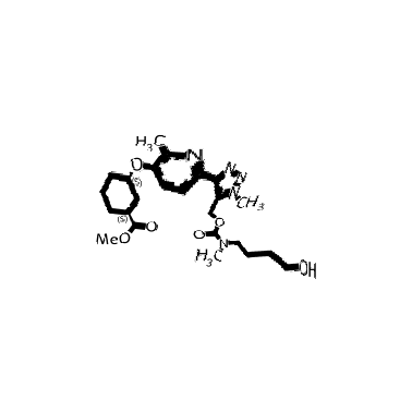 COC(=O)[C@H]1CCC[C@H](Oc2ccc(-c3nnn(C)c3COC(=O)N(C)CCCCO)nc2C)C1